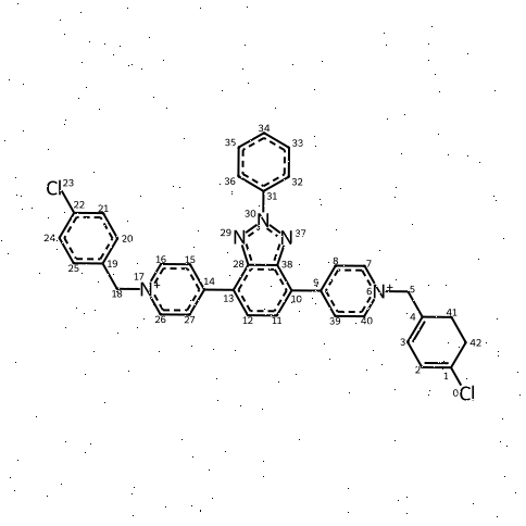 ClC1=CC=C(C[n+]2ccc(-c3ccc(-c4cc[n+](Cc5ccc(Cl)cc5)cc4)c4nn(-c5ccccc5)nc34)cc2)CC1